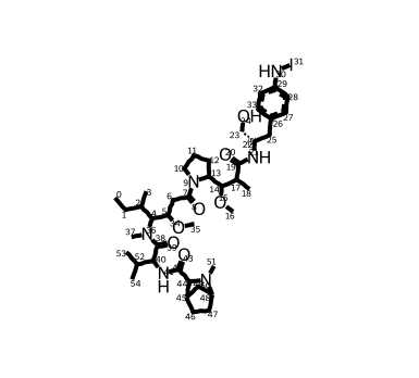 CCC(C)C(C(CC(=O)N1CCCC1C(OC)C(C)C(=O)N[C@H](CO)Cc1ccc(NI)cc1)OC)N(C)C(=O)C(NC(=O)C1C2CCC(C2)N1C)C(C)C